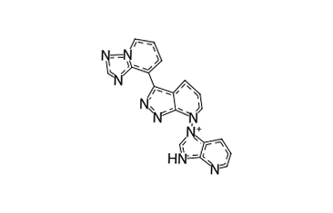 c1cnc2[nH]c[n+](-n3cccc4c(-c5cccn6ncnc56)nnc3-4)c2c1